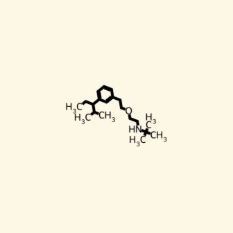 CCC(c1cccc(CCOCCNC(C)(C)C)c1)C(C)C